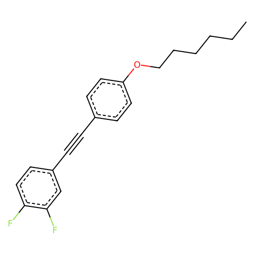 CCCCCCOc1ccc(C#Cc2ccc(F)c(F)c2)cc1